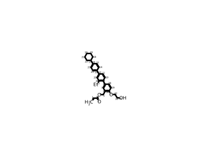 C=CC(=O)OCc1cc(-c2ccc(-c3ccc(C4CCCCC4)cc3)cc2CC)ccc1OCCO